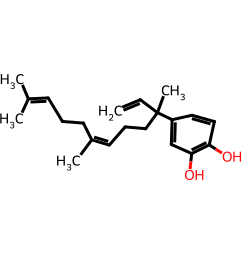 C=CC(C)(CCC=C(C)CCC=C(C)C)c1ccc(O)c(O)c1